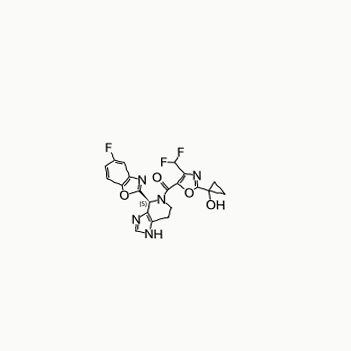 O=C(c1oc(C2(O)CC2)nc1C(F)F)N1CCc2[nH]cnc2[C@H]1c1nc2cc(F)ccc2o1